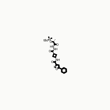 C[C@@H](O[Si](C)(C)C(C)(C)C)C(=O)NNC(=O)[C@H]1C[C@H](NC(=O)c2cc(-c3ccccc3)on2)C1